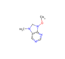 CON1[CH]N(C)c2cncnc21